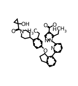 CCc1cc(OC2CCc3cccc(-c4cccc(-n5ncc(C(=O)O)c5CC)n4)c32)ccc1C1CCN(C(=O)C2(O)CC2)CC1